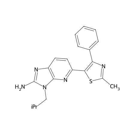 Cc1nc(-c2ccccc2)c(-c2ccc3nc(N)n(CC(C)C)c3n2)s1